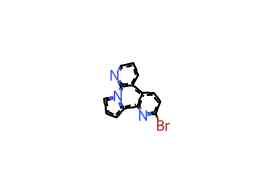 Brc1ccc2c3cccnc3n3cccc3c2n1